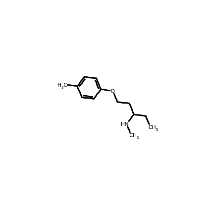 CCC(CCOc1ccc(C)cc1)NC